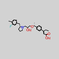 CC/C(=C\C(=O)O)c1ccc([C@@H](C)OC[C@@H](O)CN2CCC[C@H]2Cc2ccc(C)c(F)c2)cc1